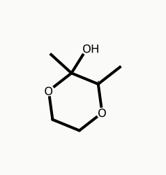 C[C]1OCCOC1(C)O